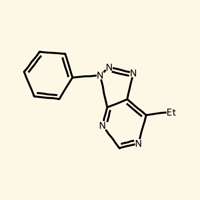 CCc1ncnc2c1nnn2-c1ccccc1